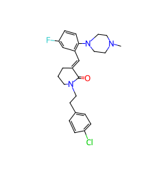 CN1CCN(c2ccc(F)cc2C=C2CCCN(CCc3ccc(Cl)cc3)C2=O)CC1